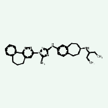 CCC(CC)N[C@H]1CCc2ccc(Nc3nc(N)n(-c4cc5c(nn4)-c4ccccc4CCC5)n3)cc2CC1